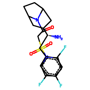 N[C@H](Cc1cc(F)c(F)cc1F)C1CC2CCC(C1)N2C(=O)CS(=O)(=O)N1CCCCC1